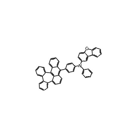 c1ccc(N(c2ccc(-c3c4ccccc4c4c5c(cccc35)-c3ccccc3-c3ccccc3-4)cc2)c2ccc3oc4ccccc4c3c2)cc1